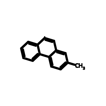 Cc1ccc2c(c[c]c3ccccc32)c1